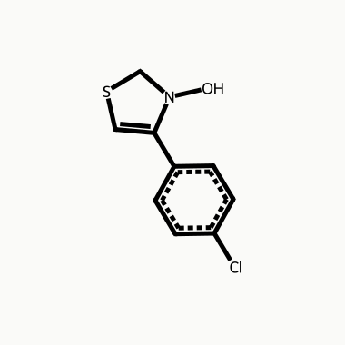 ON1CSC=C1c1ccc(Cl)cc1